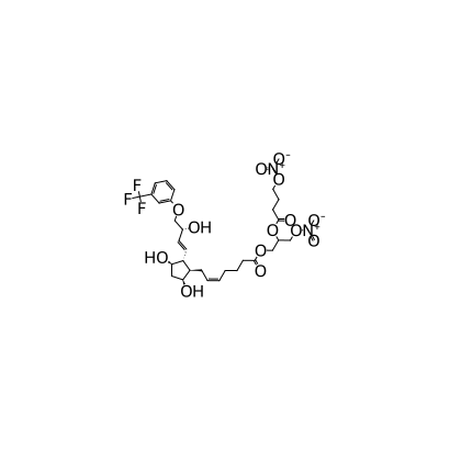 O=C(CCC/C=C\C[C@@H]1[C@@H](/C=C/[C@@H](O)COc2cccc(C(F)(F)F)c2)[C@H](O)C[C@@H]1O)OCC(CO[N+](=O)[O-])OC(=O)CCCO[N+](=O)[O-]